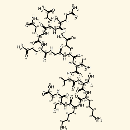 CC(C)[C@H](NC(=O)[C@@H](NC(=O)[C@H](CCC(N)=O)NC(=O)CNC(=O)[C@H](CCC(N)=O)NC(=O)[C@H](CCC(N)=O)NC(=O)[C@H](CCC(N)=O)NC(=O)[C@@H](N)CCC(N)=O)[C@@H](C)O)C(=O)N[C@H](C(=O)N[C@@H](CCCCN)C(=O)N[C@@H](CCCCN)C(=O)N[C@@H](CO)C(=O)N[C@@H](C)C(=O)O)[C@@H](C)O